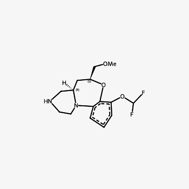 COC[C@@H]1C[C@@H]2CNCCN2c2cccc(OC(F)F)c2O1